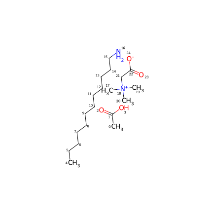 CC(=O)O.CCCCCCCCCCCCN.C[N+](C)(C)CC(=O)[O-]